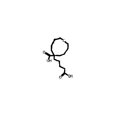 O=C(O)CCCCC1(C(=O)O)CCCCCCCCC1